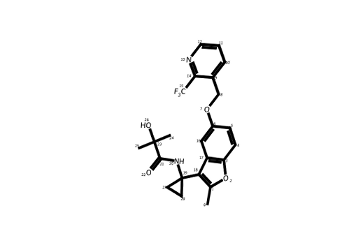 Cc1oc2ccc(OCc3cccnc3C(F)(F)F)cc2c1C1(NC(=O)C(C)(C)O)CC1